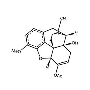 COc1ccc2c3c1O[C@H]1C(OC(C)=O)=CC[C@@]4(O)[C@@H](C2)N(C)CC[C@]314